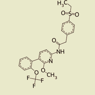 CCS(=O)(=O)c1ccc(CC(=O)Nc2ccc(-c3ccccc3OC(F)(F)F)c(OC)n2)cc1